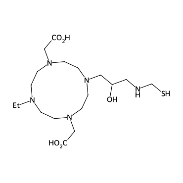 CCN1CCN(CC(=O)O)CCN(CC(O)CNCS)CCN(CC(=O)O)CC1